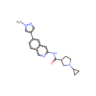 Cn1cc(-c2ccc3cnc(NC(=O)C4CCN(C5CC5)C4)cc3c2)cn1